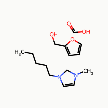 CCCCCN1C=CN(C)C1.O=CO.OCc1ccco1